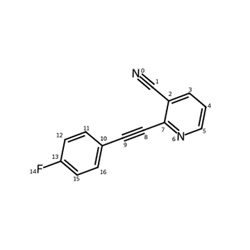 N#Cc1cccnc1C#Cc1ccc(F)cc1